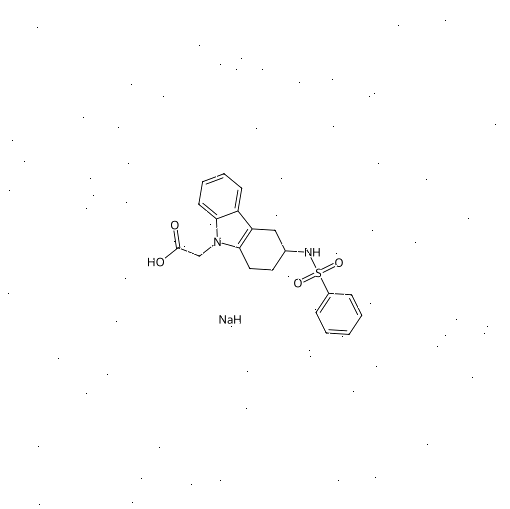 O=C(O)Cn1c2c(c3ccccc31)CC(NS(=O)(=O)c1ccccc1)CC2.[NaH]